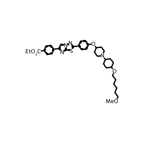 CCOC(=O)c1ccc(-c2cn3nc(-c4ccc(OC5CCN(C6CCC(OCCCCCCOC)CC6)CC5)cc4)sc3n2)cc1